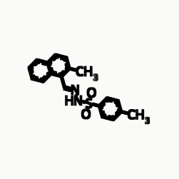 Cc1ccc(S(=O)(=O)N/N=C/c2c(C)ccc3ccccc23)cc1